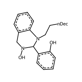 CCCCCCCCCCCCN1c2ccccc2CN(O)C1c1ccccc1O